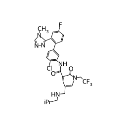 CC(C)CNCc1cc(C(=O)Nc2cc(-c3ccc(F)cc3-c3nncn3C)ccc2Cl)c(=O)n(CC(F)(F)F)c1